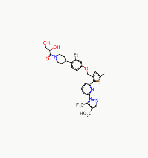 CCc1cc(OCc2cc(C)sc2-c2cccc(-n3ncc(C(=O)O)c3C(F)(F)F)n2)ccc1C1CCN(C(=O)C(O)CO)CC1